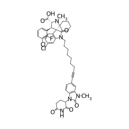 CN1[C@@H](C(=O)O)[C@H](c2cccc(Cl)c2F)[C@]2(C(=O)N(CCCCCCCC#Cc3ccc4c(c3)n(C)c(=O)n4C3CCC(=O)NC3=O)c3cc(Cl)ccc32)C12CCCCC2